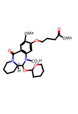 COC(=O)CCCOc1cc2c(cc1OC)C(=O)N1CCCC[C@H]1C(OC1CCCCO1)N2C(=O)O